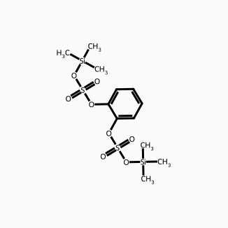 C[Si](C)(C)OS(=O)(=O)Oc1ccccc1OS(=O)(=O)O[Si](C)(C)C